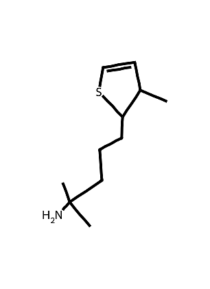 CC1C=CSC1CCCC(C)(C)N